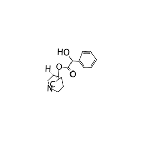 O=C(O[C@@H]1CN2CCC1CC2)C(O)c1ccccc1